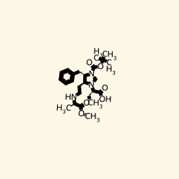 CC[C@@H](C(=O)O)N1CN(C(=O)OC(C)(C)C)[C@@H](Cc2ccccc2)[C@@H]1CCN[C@@H](C)C(=O)OC